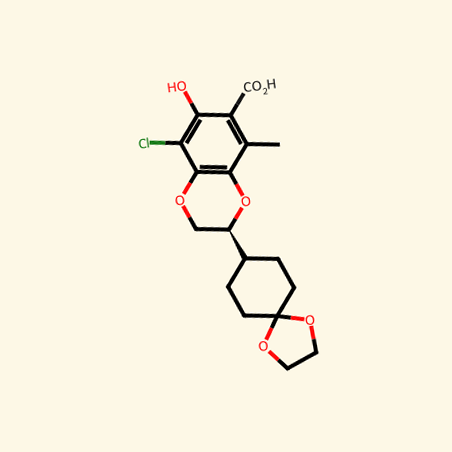 Cc1c2c(c(Cl)c(O)c1C(=O)O)OC[C@H](C1CCC3(CC1)OCCO3)O2